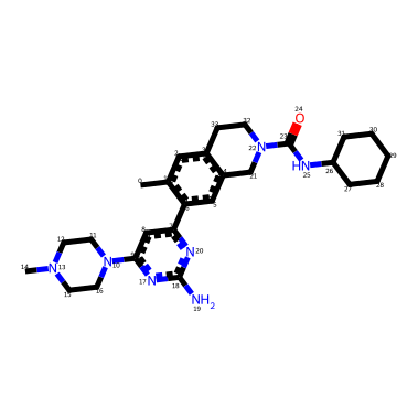 Cc1cc2c(cc1-c1cc(N3CCN(C)CC3)nc(N)n1)CN(C(=O)NC1CCCCC1)CC2